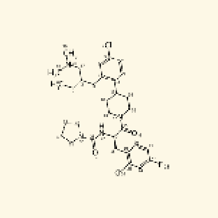 CC[C@@H](Cc1cc(Cl)ccc1C1CCN(C(=O)[C@@H](Cc2ccc(F)cc2Cl)NC(=O)N2CCCC2)CC1)CN(C)C